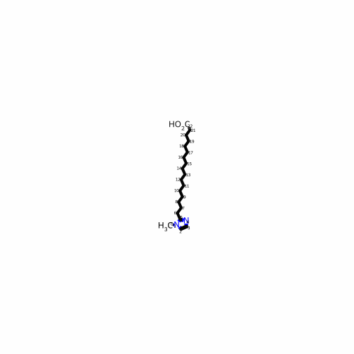 Cn1ccnc1CCCCCCCCCCCCCCCCC(=O)O